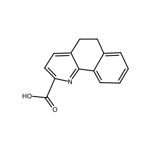 O=C(O)c1ccc2c(n1)-c1ccccc1CC2